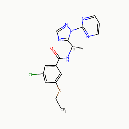 C[C@H](NC(=O)c1cc(Cl)cc(SCC(F)(F)F)c1)c1ncnn1-c1ncccn1